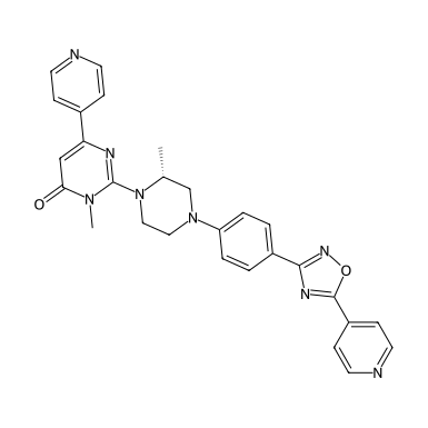 C[C@@H]1CN(c2ccc(-c3noc(-c4ccncc4)n3)cc2)CCN1c1nc(-c2ccncc2)cc(=O)n1C